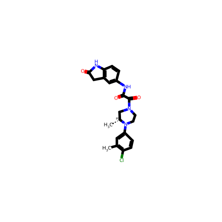 Cc1cc(N2CCN(C(=O)C(=O)Nc3ccc4c(c3)CC(=O)N4)C[C@H]2C)ccc1Cl